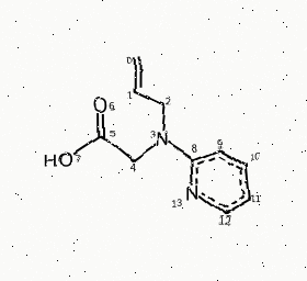 C=CCN(CC(=O)O)c1ccccn1